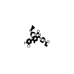 C=CC(=O)N1CCN(c2nc(=O)n3c4c(c(-c5ccc(F)c(Cl)c5)c(C)cc24)SCC(OC2CC2)C3)CC1